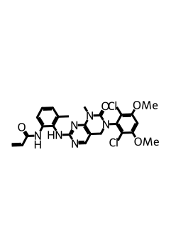 C=CC(=O)Nc1cccc(C)c1Nc1ncc2c(n1)N(C)C(=O)N(c1c(Cl)c(OC)cc(OC)c1Cl)C2